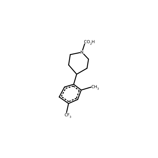 Cc1cc(C(F)(F)F)ccc1C1CCN(C(=O)O)CC1